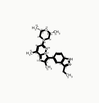 CCc1n[nH]c2ccc(-c3c(C)nc4c(C)cc(N5C[C@@H](C)O[C@@H](C)C5)nn34)cc12